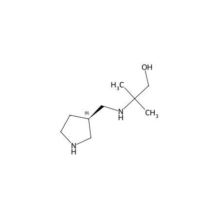 CC(C)(CO)NC[C@@H]1CCNC1